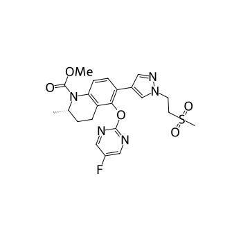 COC(=O)N1c2ccc(-c3cnn(CCS(C)(=O)=O)c3)c(Oc3ncc(F)cn3)c2CC[C@@H]1C